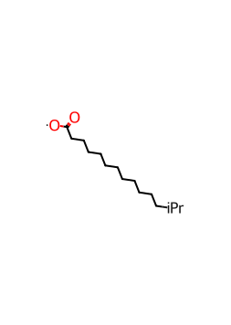 CC(C)CCCCCCCCCCCC([O])=O